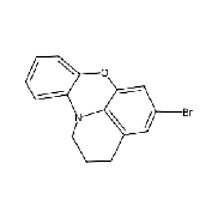 Brc1cc2c3c(c1)Oc1ccccc1N3CCC2